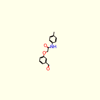 Cc1ccc(NC(=O)COc2cccc(C=O)c2)cc1